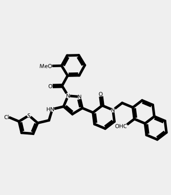 COc1ccccc1C(=O)n1nc(-c2cccn(Cc3ccc4ccccc4c3C=O)c2=O)cc1NCc1ccc(Cl)s1